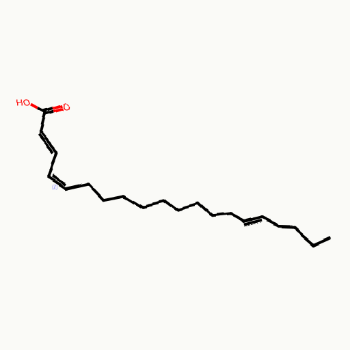 CCCCC=CCCCCCCCCC/C=C\C=CC(=O)O